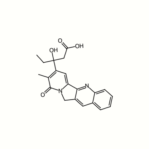 CCC(O)(CC(=O)O)c1cc2n(c(=O)c1C)Cc1cc3ccccc3nc1-2